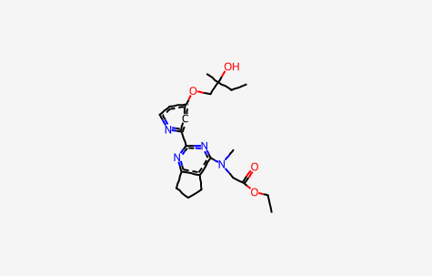 CCOC(=O)CN(C)c1nc(-c2cc(OCC(C)(O)CC)ccn2)nc2c1CCC2